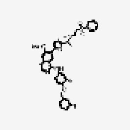 COc1cc2ncnc(Nc3ccc(OCc4cccc(F)c4)c(Br)c3)c2cc1-c1csc(C(C)NCCS(=O)(=O)c2ccccc2)n1